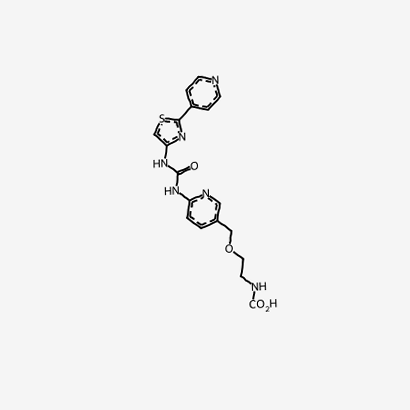 O=C(O)NCCOCc1ccc(NC(=O)Nc2csc(-c3ccncc3)n2)nc1